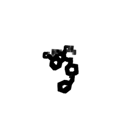 Cc1[nH]c2c(Cl)cccc2c1SC1CCN(Cc2ccccc2)CC1